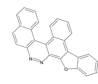 c1ccc2c(c1)ccc1nnc3c4oc5ccccc5c4c4ccccc4c3c12